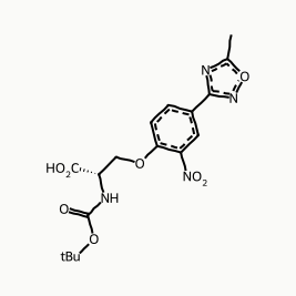 Cc1nc(-c2ccc(OC[C@H](NC(=O)OC(C)(C)C)C(=O)O)c([N+](=O)[O-])c2)no1